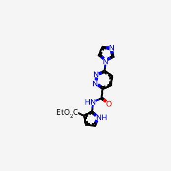 CCOC(=O)c1cc[nH]c1NC(=O)c1ccc(-n2ccnc2)nn1